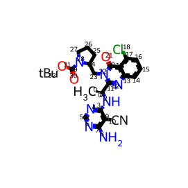 C[C@H](Nc1ncnc(N)c1C#N)c1nc2cccc(Cl)c2c(=O)n1CC1CCCN1C(=O)OC(C)(C)C